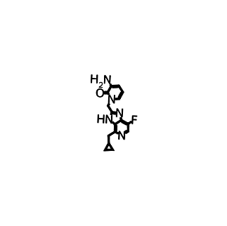 Nc1cccn(Cc2nc3c(F)cnc(CC4CC4)c3[nH]2)c1=O